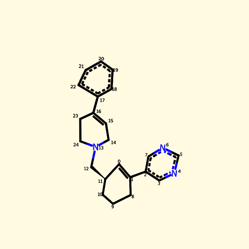 C1=C(c2cncnc2)CCC[C@H]1CN1CC=C(c2ccccc2)CC1